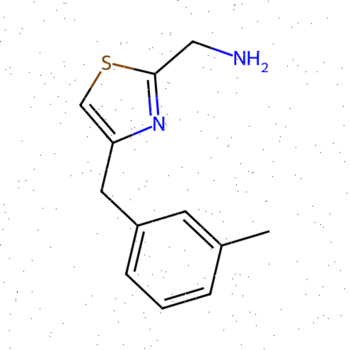 Cc1cccc(Cc2csc(CN)n2)c1